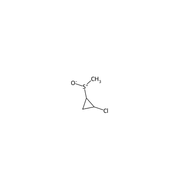 C[S+]([O-])C1CC1Cl